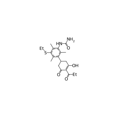 CCSc1c(C)c(NC(N)=O)c(C)c(C2CC(=O)C(C(=O)CC)=C(O)C2)c1C